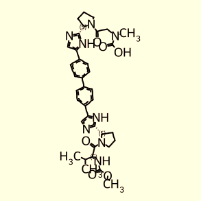 COC(=O)N[C@H](C(=O)N1CCC[C@H]1c1ncc(-c2ccc(-c3ccc(-c4cnc([C@@H]5CCCN5C(=O)CN(C)C(=O)O)[nH]4)cc3)cc2)[nH]1)C(C)C